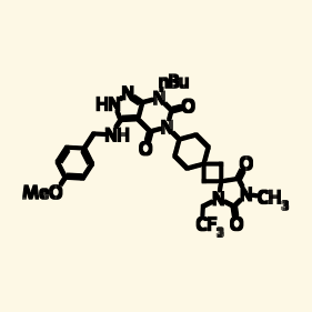 CCCCn1c(=O)n(C2CCC3(CC2)CC2(C3)C(=O)N(C)C(=O)N2CC(F)(F)F)c(=O)c2c(NCc3ccc(OC)cc3)[nH]nc21